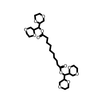 O=C(CCCCCCCCC(=O)OC(C1COCCO1)C1COCCO1)OC(C1COCCO1)C1COCCO1